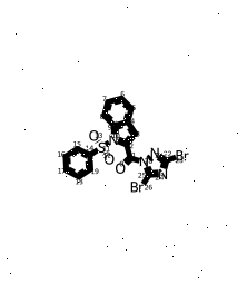 O=C(c1cc2ccccc2n1S(=O)(=O)c1ccccc1)n1nc(Br)nc1Br